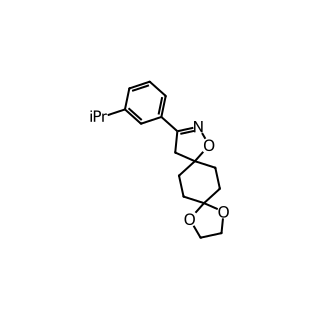 CC(C)c1cccc(C2=NOC3(CCC4(CC3)OCCO4)C2)c1